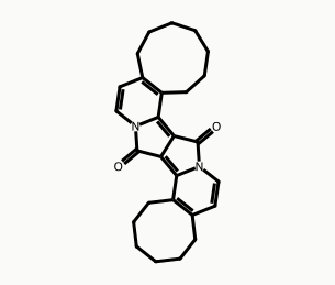 O=C1C2=C3C4=C(C=CN3C(=O)C2=C2C3=C(C=CN12)CCCCCCC3)CCCCCC4